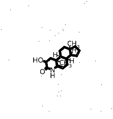 C[C@@]12CCC[C@H]1[C@@H]1CC=C3NC(=O)C(O)C[C@]3(C)[C@H]1CC2